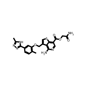 Cc1nnc(-c2ccc(C)c(OCc3csc4c(C(=O)OCC(N)=O)cnc(N)c34)c2)[nH]1